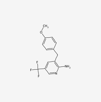 COc1ccc(Cc2cc(C(F)(F)F)cnc2N)cc1